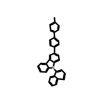 Cc1ccc(-c2ccc(-c3ccc4c(c3)c3ccccc3n4-c3cccc4ccccc34)cc2)cc1